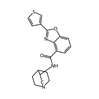 O=C(NC1CN2CCC1CC2)c1cccc2oc(-c3ccsc3)nc12